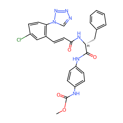 COC(=O)Nc1ccc(NC(=O)[C@@H](Cc2ccccc2)NC(=O)C=Cc2cc(Cl)ccc2-n2cnnn2)cc1